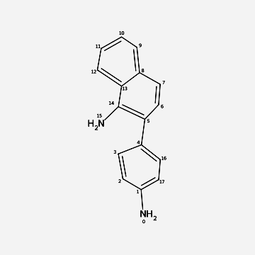 Nc1ccc(-c2ccc3ccccc3c2N)cc1